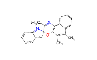 CC1=Nc2c(c(C)c(C)c3ccccc23)OC12C=c1ccccc1=N2